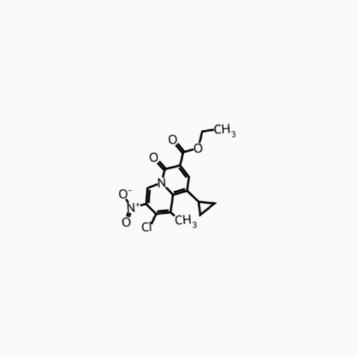 CCOC(=O)c1cc(C2CC2)c2c(C)c(Cl)c([N+](=O)[O-])cn2c1=O